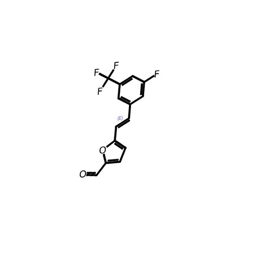 O=Cc1ccc(/C=C/c2cc(F)cc(C(F)(F)F)c2)o1